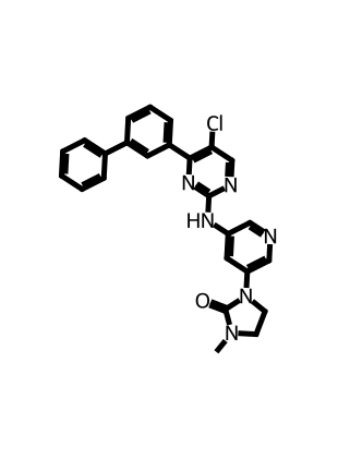 CN1CCN(c2cncc(Nc3ncc(Cl)c(-c4cccc(-c5ccccc5)c4)n3)c2)C1=O